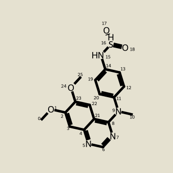 COc1cc2ncnc(N(C)c3ccc(N[SH](=O)=O)cc3)c2cc1OC